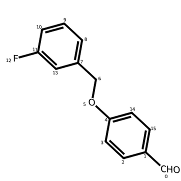 O=Cc1ccc(OCc2cccc(F)c2)cc1